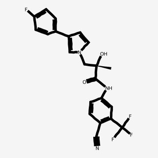 C[C@](O)(Cn1ccc(-c2ccc(F)cc2)c1)C(=O)Nc1ccc(C#N)c(C(F)(F)F)c1